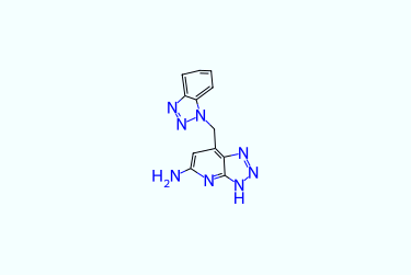 Nc1cc(Cn2nnc3ccccc32)c2nn[nH]c2n1